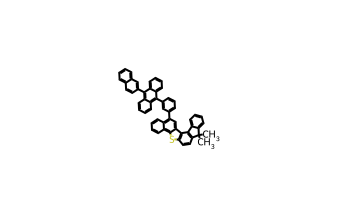 CC1(C)c2ccccc2-c2c1ccc1sc3c4ccccc4c(-c4cccc(-c5c6ccccc6c(-c6ccc7ccccc7c6)c6ccccc56)c4)cc3c21